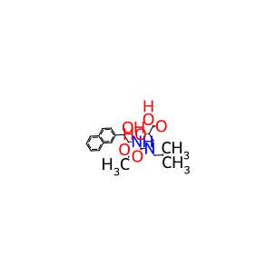 CCOC(NC(=O)N(CC(C)C)CC(O)C(=O)O)C(O)c1ccc2ccccc2c1